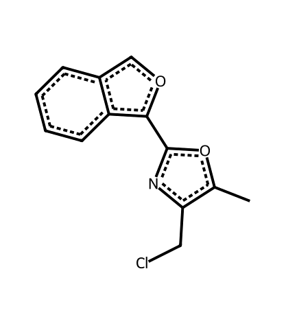 Cc1oc(-c2occ3ccccc23)nc1CCl